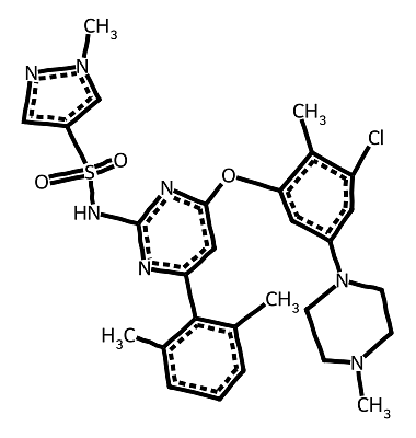 Cc1cccc(C)c1-c1cc(Oc2cc(N3CCN(C)CC3)cc(Cl)c2C)nc(NS(=O)(=O)c2cnn(C)c2)n1